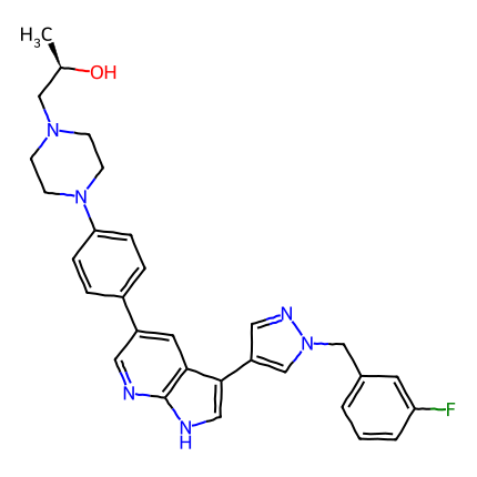 C[C@@H](O)CN1CCN(c2ccc(-c3cnc4[nH]cc(-c5cnn(Cc6cccc(F)c6)c5)c4c3)cc2)CC1